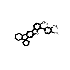 Cc1cnc(-c2c(C)ccc3c2oc2cc4c(cc23)C2CCCCC2C42CCCC2)cc1C